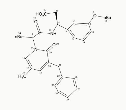 CCCCOc1cccc([C@H](CC(=O)O)NC(=O)C(CCCC)n2cc(C)cc(Cc3ccccc3)c2=O)c1